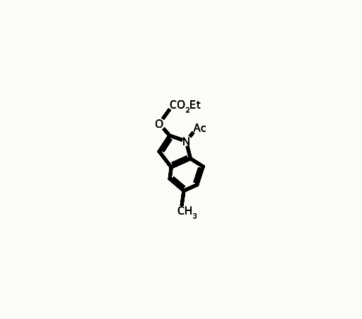 CCOC(=O)Oc1cc2cc(C)ccc2n1C(C)=O